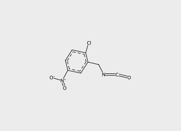 O=C=NCc1cc([N+](=O)[O-])ccc1Cl